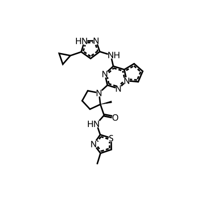 Cc1csc(NC(=O)[C@]2(C)CCCN2c2nc(Nc3cc(C4CC4)[nH]n3)c3cccn3n2)n1